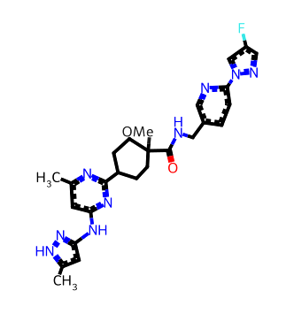 COC1(C(=O)NCc2ccc(-n3cc(F)cn3)nc2)CCC(c2nc(C)cc(Nc3cc(C)[nH]n3)n2)CC1